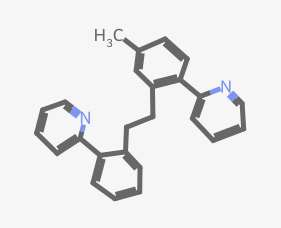 Cc1ccc(-c2ccccn2)c(CCc2ccccc2-c2ccccn2)c1